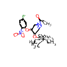 CC(=O)N1C[C@H](Oc2cc(F)ccc2[N+](=O)[O-])[C@@H](O[Si](C)(C)C(C)(C)C)C1